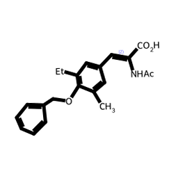 CCc1cc(/C=C(\NC(C)=O)C(=O)O)cc(C)c1OCc1ccccc1